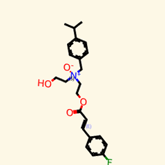 CC(C)c1ccc(C[N@+]([O-])(CCO)CCOC(=O)/C=C/c2ccc(F)cc2)cc1